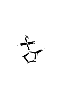 CS(=O)(=O)N1CCOS1=O